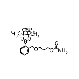 CC1(C)OB(c2ccccc2COCCCOC(N)=O)OC1(C)C